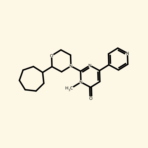 Cn1c(N2CCOC(C3CCCCCC3)C2)nc(-c2ccncc2)cc1=O